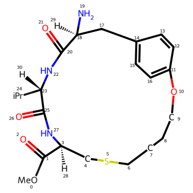 COC(=O)[C@@H]1CSCCCCOc2ccc(cc2)C[C@H](N)C(=O)N[C@@H](C(C)C)C(=O)N1